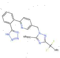 CCCCCc1nc(C(F)(F)CCC)nn1Cc1ccc(-c2ccccc2-c2nnn[nH]2)nc1